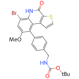 COc1cc(Br)c2[nH]c(=O)c3sccc3c2c1-c1ccc(CNC(=O)OC(C)(C)C)cc1